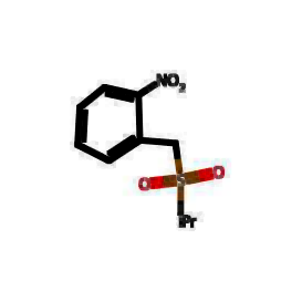 CC(C)S(=O)(=O)Cc1ccccc1[N+](=O)[O-]